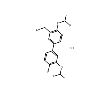 Cl.Fc1ccc(-c2cnc(OC(F)F)c(CCl)c2)cc1OC(F)F